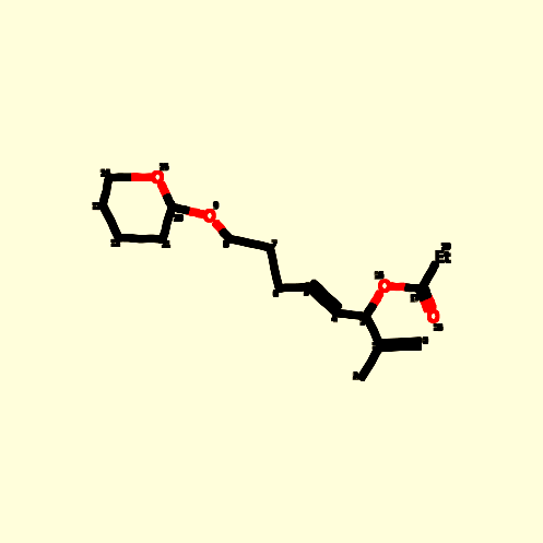 C=C(C)C(C=CCCCOC1CCCCO1)OC(=O)CC